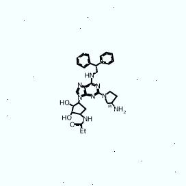 CCC(=O)NC1CC(n2cnc3c(NCC(c4ccccc4)c4ccccc4)nc(N4CC[C@@H](N)C4)nc32)C(O)C1O